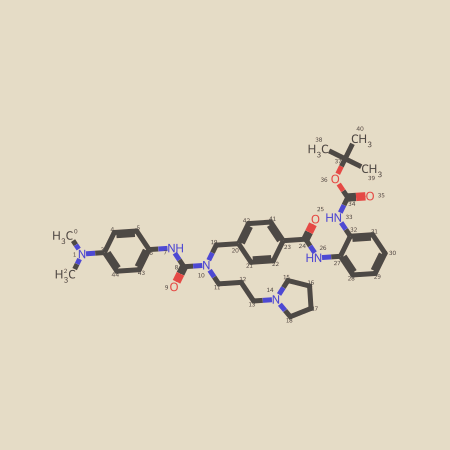 CN(C)c1ccc(NC(=O)N(CCCN2CCCC2)Cc2ccc(C(=O)Nc3ccccc3NC(=O)OC(C)(C)C)cc2)cc1